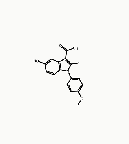 COc1ccc(-n2c(C)c(C(=O)O)c3cc(O)ccc32)cc1